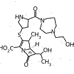 CC(O)C1C(=O)N2C(C(=O)O)=C(SC3CNC(C(=O)N4CCCN(CCO)CC4)C3)C(C)[C@@H]12